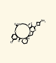 CN1CCNC(=O)COc2ccc(Cl)cc2C(=O)N2CCCC[C@H]2C2=NN3C1=C(F)C(N1CC(N)C1)=NC3C2